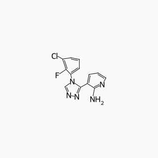 Nc1ncccc1-c1nncn1-c1cccc(Cl)c1F